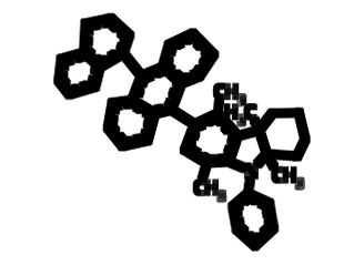 Cc1cc(-c2c3ccccc3c(-c3cccc4ccccc34)c3ccccc23)c(C)c2c1N(c1ccccc1)C1(C)CCCCC21C